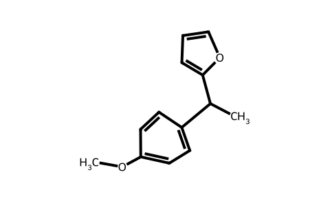 COc1ccc(C(C)c2ccco2)cc1